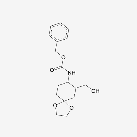 O=C(NC1CCC2(CC1CO)OCCO2)OCc1ccccc1